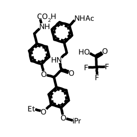 CCOc1cc(C(Oc2ccc(CNC(=O)O)cc2)C(=O)NCc2cccc(NC(C)=O)c2)ccc1OC(C)C.O=C(O)C(F)(F)F